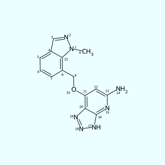 Cn1ncc2cccc(COc3cc(N)nc4[nH]nnc34)c21